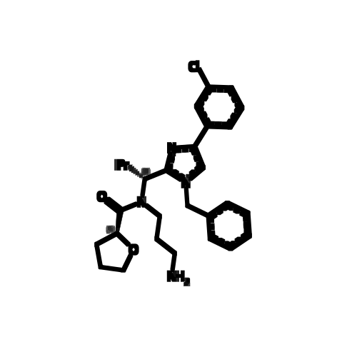 CC(C)[C@H](c1nc(-c2cccc(Cl)c2)cn1Cc1ccccc1)N(CCCN)C(=O)[C@@H]1CCCO1